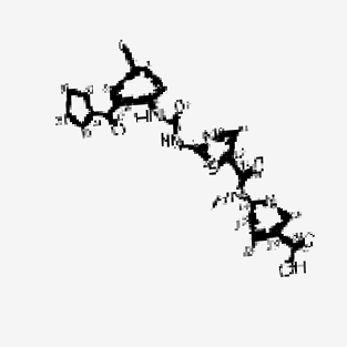 Cc1ccc(NC(=O)Nc2ncc(C(=O)Nc3ccc(C(=O)O)cn3)s2)c(C(=O)C2CCCC2)c1